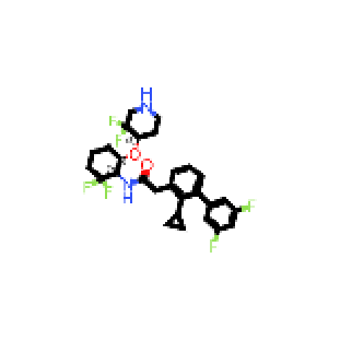 O=C(Cc1cccc(-c2cc(F)cc(F)c2)c1C1CC1)N[C@@H]1[C@@H](O[C@H]2CCNCC2(F)F)CCCC1(F)F